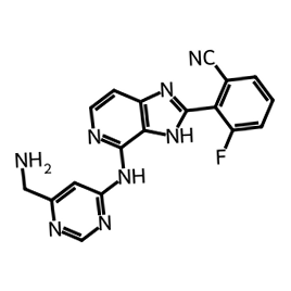 N#Cc1cccc(F)c1-c1nc2ccnc(Nc3cc(CN)ncn3)c2[nH]1